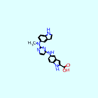 CN(c1ccc2[nH]ccc2c1)c1nccc(Nc2ccc3[nH]c(C(=O)O)cc3c2)n1